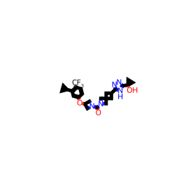 O=C(N1CC(Oc2ccc(C(F)(F)F)c(C3CC3)c2)C1)N1CC2(CC(c3nnc(C4(O)CC4)[nH]3)C2)C1